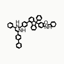 C1=CC(C2C=C(c3ccc(-c4ccccc4)cc3)NC(c3ccc(-c4cccc5c4-c4ccccc4C5(c4ccccc4)c4ccc5c(c4)OC(C4=CCCC=C4)N5)cc3)N2)=CCC1